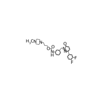 CN1CCN(CCCOC(=O)Nc2cccc(Cn3nc(-c4ccc(F)c(F)c4)ccc3=O)c2)CC1